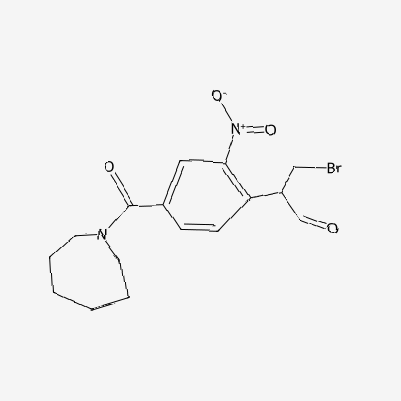 O=CC(CBr)c1ccc(C(=O)N2CCCCCC2)cc1[N+](=O)[O-]